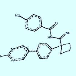 N=C(NC(=O)c1ccc(O)cc1)C1(c2ccc(-c3cnc(N)nc3)cc2)CCC1